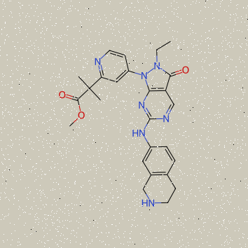 CCn1c(=O)c2cnc(Nc3ccc4c(c3)CNCC4)nc2n1-c1ccnc(C(C)(C)C(=O)OC)c1